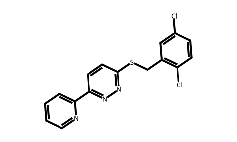 Clc1ccc(Cl)c(CSc2ccc(-c3ccccn3)nn2)c1